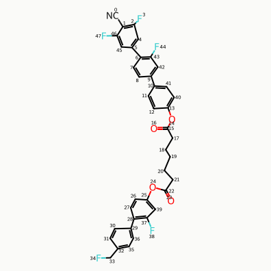 N#Cc1c(F)cc(-c2ccc(-c3ccc(OC(=O)CCCCCC(=O)Oc4ccc(-c5ccc(CF)cc5)c(F)c4)cc3)cc2F)cc1F